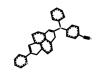 N#Cc1ccc(N(C2=Cc3ccc4c5c(ccc(c35)C2)CC(c2ccccn2)=C4)c2ccccc2)cc1